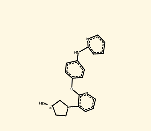 O[C@H]1CCN(c2cccnc2Oc2ccc(Nc3ccccn3)cc2)C1